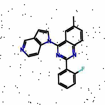 Cc1ccc2nc(-c3ccccc3F)nc(-n3ccc4cnccc43)c2c1